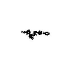 CN1CCC(COc2cnc(-c3cccc(Cn4nc(-c5cccc(C#N)c5)ccc4=O)n3)nc2)CC1